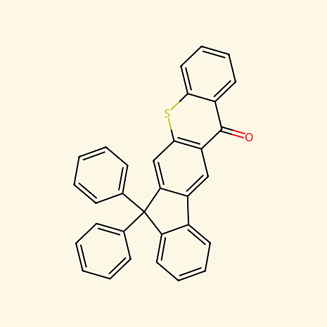 O=c1c2ccccc2sc2cc3c(cc12)-c1ccccc1C3(c1ccccc1)c1ccccc1